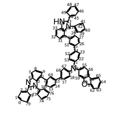 c1ccc(-c2nc3cccc(-c4cccc(-c5ccc(N(c6ccc(-c7cccc(-c8cccc9c8N(c8ccccc8)C(c8ccccc8)N9)c7)cc6)c6ccc7c(c6)oc6ccccc67)cc5)c4)c3n2-c2ccccc2)cc1